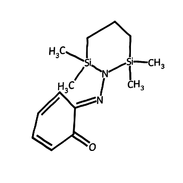 C[Si]1(C)CCC[Si](C)(C)N1N=C1C=CC=CC1=O